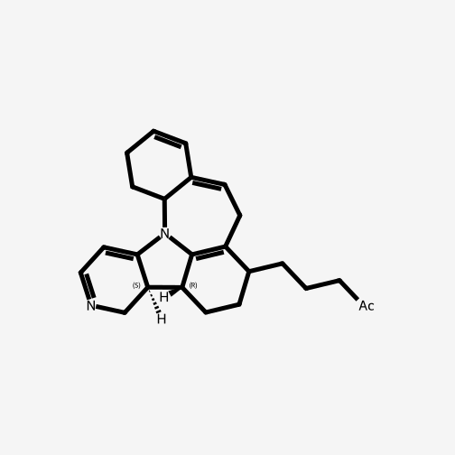 CC(=O)CCCC1CC[C@H]2C3=C1CC=C1C=CCCC1N3C1=CC=NC[C@@H]12